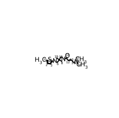 Cc1ccc(N2CC3(CN(C(=O)/C=C/CN(C)C)C3)C2)s1